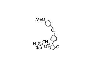 COc1ccc(COCc2ccc(N3C(=O)CC[C@@H]3CO[Si](C)(C)C(C)(C)C)cc2)cc1